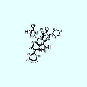 O=C(NC1CCCCC1)C(C[C@@H]1CCNC1=O)N(Cc1ccc(-c2ccccc2)cc1)C(=O)c1cnc[nH]1